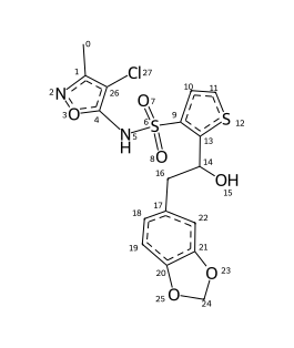 Cc1noc(NS(=O)(=O)c2ccsc2C(O)Cc2ccc3c(c2)OCO3)c1Cl